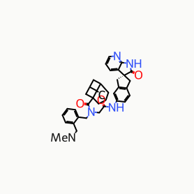 CNCc1ccccc1CN(CC(=O)Nc1ccc2c(c1)C[C@@]1(C2)C(=O)Nc2ncccc21)C(=O)C12CC3CC4CC(C1)C42C3